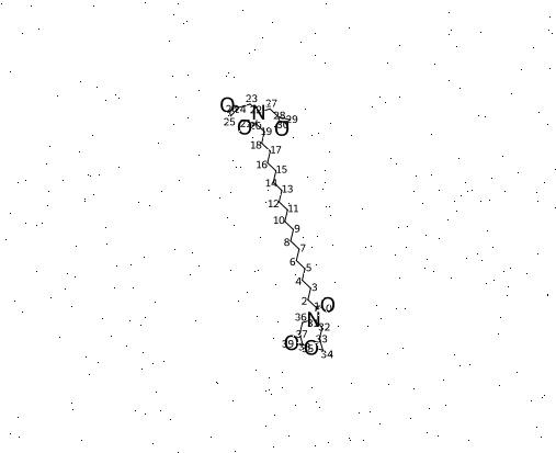 O=C(CCCCCCCCCCCCCCCCCCC(=O)N(CC1CO1)CC1CO1)N(CC1CO1)CC1CO1